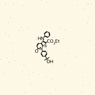 CCOC(=O)c1sc2c(ccc(=O)n2-c2ccc(C(C)(C)O)cc2)c1Nc1ccccc1